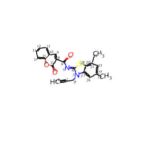 C#CCn1/c(=N/C(=O)c2cc3ccccc3oc2=O)sc2c(C)cc(C)cc21